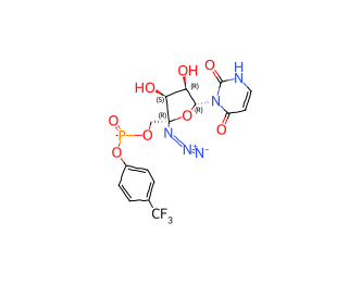 [N-]=[N+]=N[C@]1(CO[P](=O)Oc2ccc(C(F)(F)F)cc2)O[C@@H](n2c(=O)cc[nH]c2=O)[C@H](O)[C@@H]1O